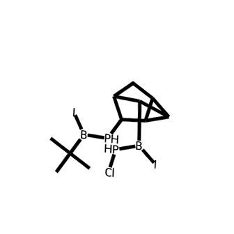 CC(C)(C)B(I)PC1C2CC3C1C3C2B(I)PCl